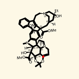 CC[C@]1(O)C[C@@H]2C[N@@](CCc3c([nH]c4ccccc34)[C@@](C(=O)OC)(c3cc4c(cc3OC)N(C)[C@H]3[C@@](O)(C(=O)OC)[C@@H]5OC(C)(C)OC[C@]56C=CCN5CC[C@]43[C@@H]56)C2)C1